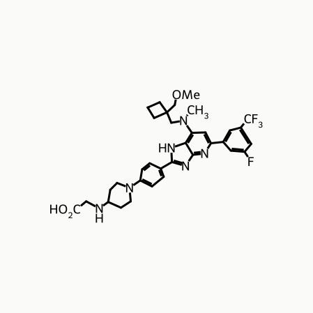 COCC1(CN(C)c2cc(-c3cc(F)cc(C(F)(F)F)c3)nc3nc(-c4ccc(N5CCC(NCC(=O)O)CC5)cc4)[nH]c23)CCC1